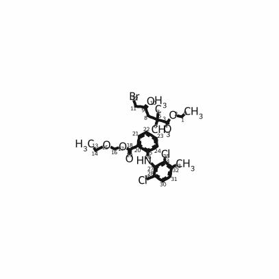 CCOC(=O)C(C)(C)CC(=O)CBr.CCOCOC(=O)c1ccccc1Nc1c(Cl)ccc(C)c1Cl